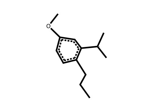 CCCc1ccc(OC)cc1[C](C)C